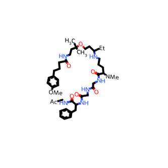 CCC(CCOC(C)(C)CCNC(=O)CCCc1ccc(OC)cc1)NCCCC(NC)C(=O)NCC(=O)NCC(=O)NC(Cc1ccccc1)C(=O)NCC(C)=O